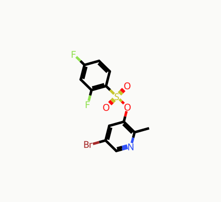 Cc1ncc(Br)cc1OS(=O)(=O)c1ccc(F)cc1F